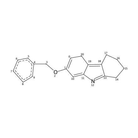 C1=C(OCc2ccccc2)C=C2N=C3CCCCC3=C2C1